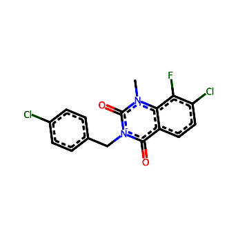 Cn1c(=O)n(Cc2ccc(Cl)cc2)c(=O)c2ccc(Cl)c(F)c21